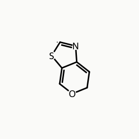 [c]1nc2c(s1)=COCC=2